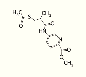 COC(=O)c1ccc(NC(=O)C(C)CSC(C)=O)cn1